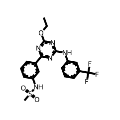 CCOc1nc(Nc2cccc(C(F)(F)F)c2)nc(-c2cccc(NS(C)(=O)=O)c2)n1